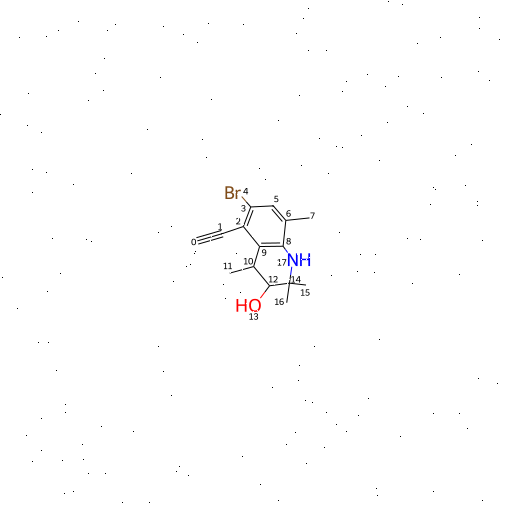 C#Cc1c(Br)cc(C)c2c1C(C)C(O)C(C)(C)N2